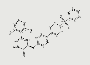 COC(=O)[C@H](Cc1ccc(C2=CCN(S(=O)(=O)c3ccccc3)CC2)cc1)NC(=O)c1c(Cl)cccc1Cl